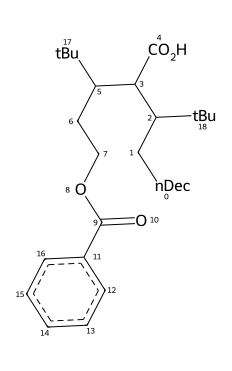 CCCCCCCCCCCC(C(C(=O)O)C(CCOC(=O)c1ccccc1)C(C)(C)C)C(C)(C)C